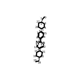 CC[C@H]1CC[C@H](c2ccc(-c3ncc([C@H]4CC[C@H](CC)CC4)cn3)cc2)CC1